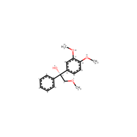 COC[C@@](O)(c1ccccc1)c1ccc(OC)c(OC)c1